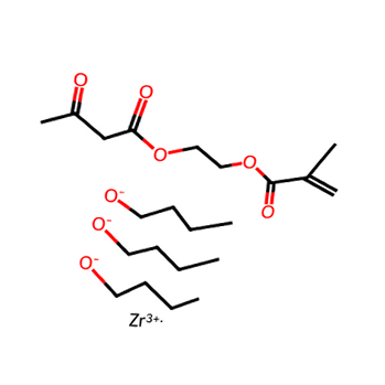 C=C(C)C(=O)OCCOC(=O)CC(C)=O.CCCC[O-].CCCC[O-].CCCC[O-].[Zr+3]